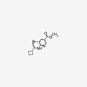 COC(=O)c1cnc(NC(=S)C2CCC2)c(Br)c1